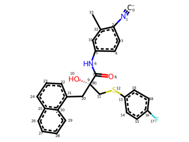 [C-]#[N+]c1ccc(NC(=O)[C@@](O)(CSc2ccc(F)cc2)Cc2cccc3ccccc23)cc1C